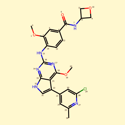 COc1cc(C(=O)NC2COC2)ccc1Nc1nc(OC)c2c(-c3cc(C)nc(Cl)c3)c[nH]c2n1